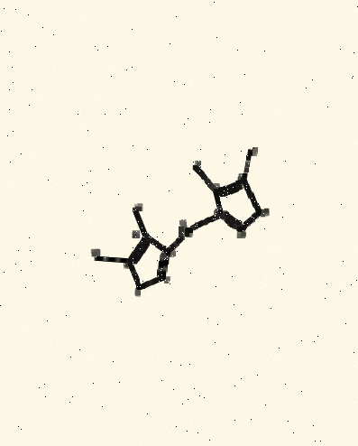 CC1=C(C)[C]([Fe][C]2=CCC(C)=C2C)=CC1